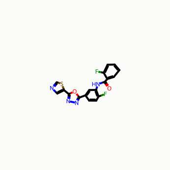 O=C(Nc1cc(-c2nnc(-c3cncs3)o2)ccc1F)c1ccccc1F